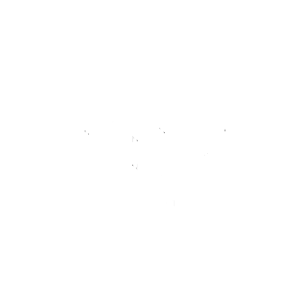 CCN1C(C)=C(C(=O)O)NN1c1ccccn1